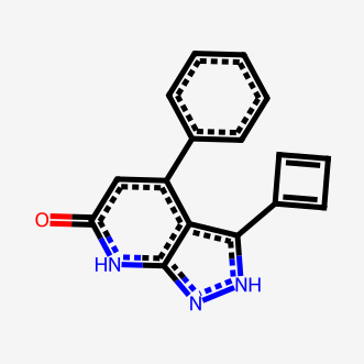 O=c1cc(-c2ccccc2)c2c(C3=CC=C3)[nH]nc2[nH]1